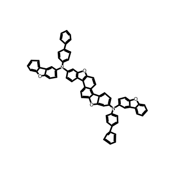 c1ccc(-c2ccc(N(c3ccc4c(c3)oc3ccc5c(ccc6oc7cc(N(c8ccc(-c9ccccc9)cc8)c8ccc9oc%10ccccc%10c9c8)ccc7c65)c34)c3ccc4oc5ccccc5c4c3)cc2)cc1